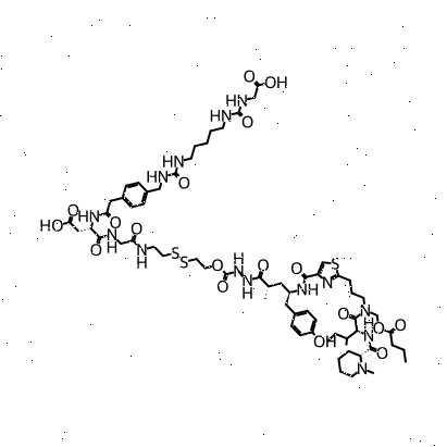 CCCC(=O)OCN(CCCc1nc(C(=O)N[C@@H](Cc2ccc(O)cc2)C[C@H](C)C(=O)NNC(=O)OCCSSCCNC(=O)CNC(=O)[C@H](CC(=O)O)NC(=O)Cc2ccc(CNC(=O)NCCCCCNC(=O)NCC(=O)O)cc2)cs1)C(=O)[C@@H](NC(=O)[C@H]1CCCCN1C)C(C)CC